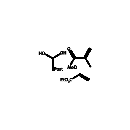 C=C(C)C(=O)OC.C=CC(=O)OCC.CCCCCC(O)O